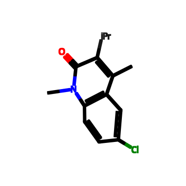 Cc1c(C(C)C)c(=O)n(C)c2ccc(Cl)cc12